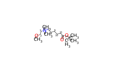 COCC[N+](C)(C)CCCCCC(=O)OC(C)(C)C